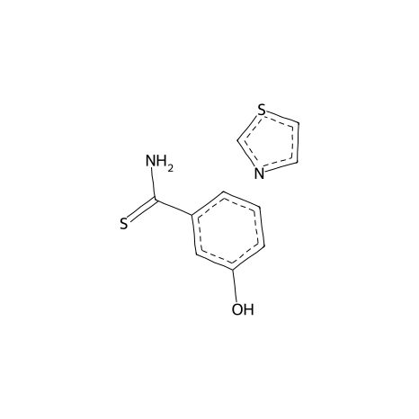 NC(=S)c1cccc(O)c1.c1cscn1